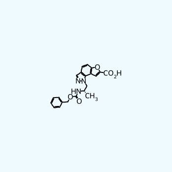 C[C@@H](Cn1ncc2ccc3oc(C(=O)O)cc3c21)NC(=O)OCc1ccccc1